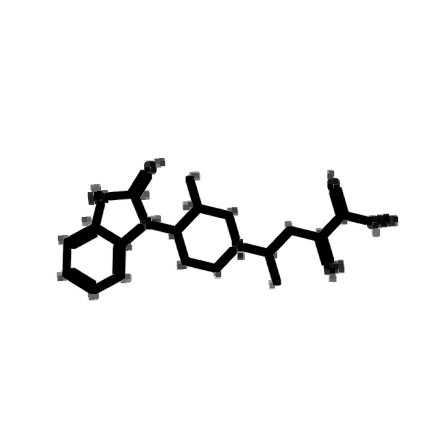 COC(=O)C(=N)CC(C)N1CCC(n2c(=O)[nH]c3ccccc32)C(C)C1